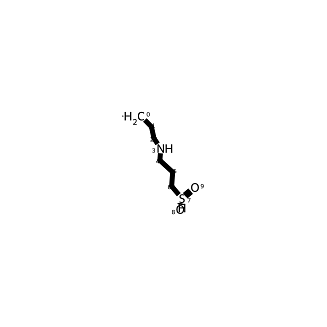 [CH2]CCNCCC[SH](=O)=O